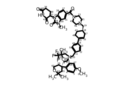 COc1ccc([C@]2(CCN(Cc3ccc(C4=CC[C@H](CN5CCN(C(=O)c6ccc7c(c6)n(C)c(=O)n7C6CCC(=O)NC6=O)CC5)CC4)cc3)CC(C)(C)C(F)(F)F)CCOC(C)(C)C2)cc1